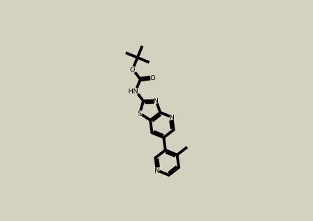 Cc1ccncc1-c1cnc2nc(NC(=O)OC(C)(C)C)sc2c1